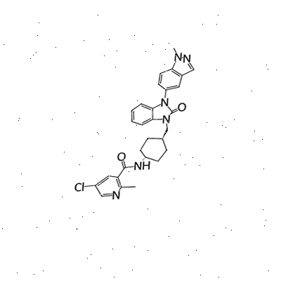 Cc1ncc(Cl)cc1C(=O)N[C@H]1CC[C@H](Cn2c(=O)n(-c3ccc4c(cnn4C)c3)c3ccccc32)CC1